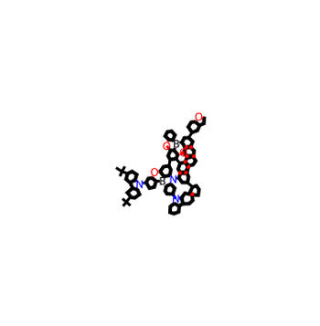 CC(C)(C)c1ccc2c(c1)c1cc(C(C)(C)C)ccc1n2-c1ccc2c(c1)Oc1cc(-c3cc4c5c(c3-c3ccccc3-c3ccccc3)Oc3ccc(-c6ccc7occc7c6)cc3B5c3ccccc3O4)cc3c1B2c1ccc(-n2c4ccccc4c4ccccc42)cc1N3c1cc(-c2ccccc2)cc(-c2ccccc2)c1